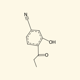 CCC(=O)c1ccc(C#N)cc1O